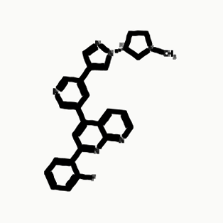 CN1CC[C@@H](n2cc(-c3cncc(-c4cc(-c5ccccc5F)nc5ncccc45)c3)cn2)C1